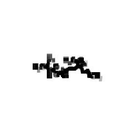 CCCCc1noc(C)c1/C=C/c1ncc(OC(=O)NC(C)C)s1